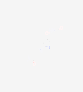 O=C1CCC(c2ccc(N3CCC(C(=O)N4CCCCC4)CC3)nc2)C(=O)N1